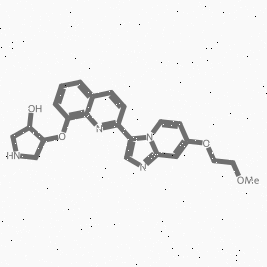 COCCOc1ccn2c(-c3ccc4cccc(OC5CNCC5O)c4n3)cnc2c1